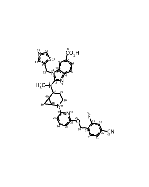 CN(c1nc2ccc(C(=O)O)cc2n1Cc1cncs1)C1CCN(c2cccc(OCc3ccc(C#N)cc3F)n2)C2CC12